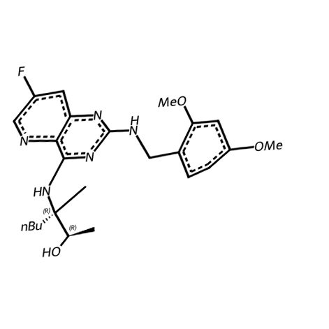 CCCC[C@@](C)(Nc1nc(NCc2ccc(OC)cc2OC)nc2cc(F)cnc12)[C@@H](C)O